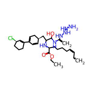 C=C/C=C\CCCCC(NC(C[C@H]1C=CC(C2=C[C@H](Cl)CCC2)=CC1)C(O)NC(=C)NNNN)C(=O)OCC